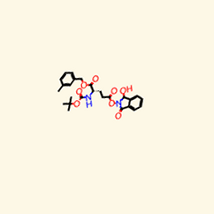 Cc1cccc(COC(=O)[C@H](CCC(=O)ON2C(=O)c3ccccc3C2O)NC(=O)OC(C)(C)C)c1